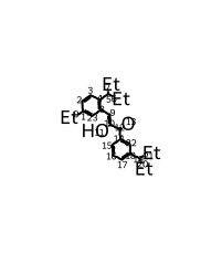 CCc1ccc(C(CC)CC)c(C=C(O)C(=O)c2cccc(C(CC)CC)c2)c1